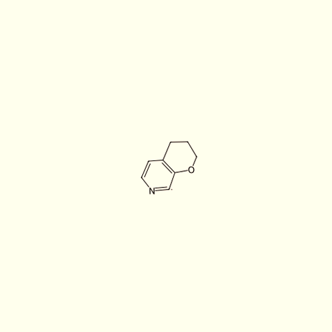 [c]1nccc2c1OCCC2